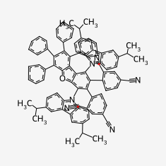 CC(C)c1ccc2c(c1)c1cc(C(C)C)ccc1n2-c1c(-c2ccc(C#N)cc2C#N)c(-c2ccc(C#N)cc2C#N)c(-n2c3ccc(C(C)C)cc3c3cc(C(C)C)ccc32)c2c1oc1c(-c3ccccc3)c(-c3ccccc3)c(-c3ccccc3)c(-c3ccccc3)c12